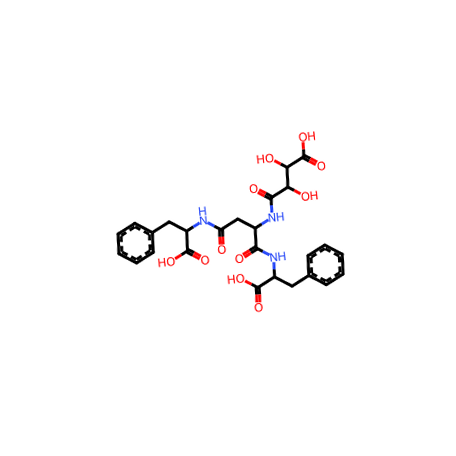 O=C(CC(NC(=O)C(O)C(O)C(=O)O)C(=O)NC(Cc1ccccc1)C(=O)O)NC(Cc1ccccc1)C(=O)O